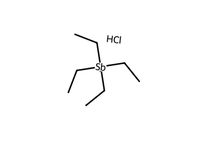 C[CH2][Sb]([CH2]C)([CH2]C)[CH2]C.Cl